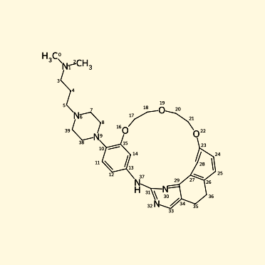 CN(C)CCCN1CCN(c2ccc3cc2OCCOCCOc2ccc4c(c2)-c2nc(ncc2CC4)N3)CC1